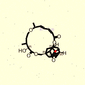 CC1=CC2O[C@@H]3C[C@H]4OC(=O)/C=C\C=C\C(C)OCCC(C)[C@@H](O)C(=O)OC[C@@]2(CC1)[C@]4(C)C12CC31O2